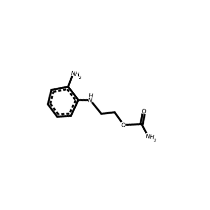 NC(=O)OCCNc1ccccc1N